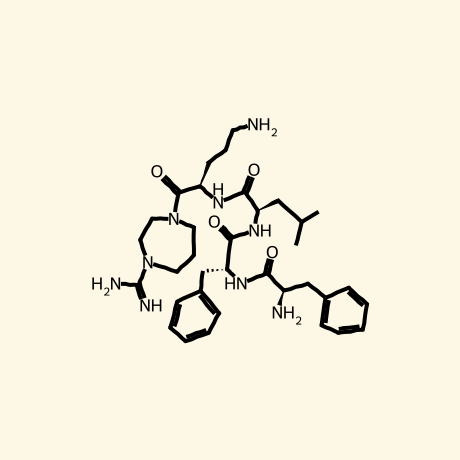 CC(C)C[C@@H](NC(=O)[C@@H](Cc1ccccc1)NC(=O)[C@H](N)Cc1ccccc1)C(=O)N[C@H](CCCN)C(=O)N1CCCN(C(=N)N)CC1